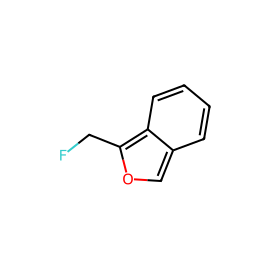 FCc1occ2ccccc12